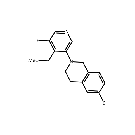 COCc1c(F)cncc1N1CCc2cc(Cl)ccc2C1